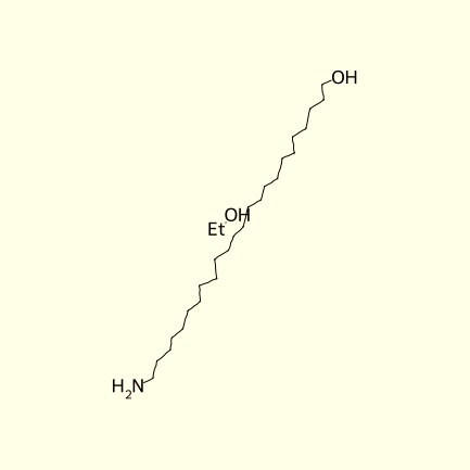 CCO.NCCCCCCCCCCCCCCCCCCCCCCCCO